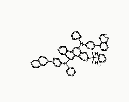 CC(C)(c1ccccc1)c1ccc2c(c1)c(N(c1ccccc1)c1ccc(-c3cccc4ccccc34)cc1)cc1c3ccccc3c(N(c3ccccc3)c3ccc(-c4ccc5ccccc5c4)cc3)cc21